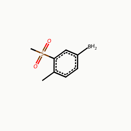 Bc1ccc(C)c(S(C)(=O)=O)c1